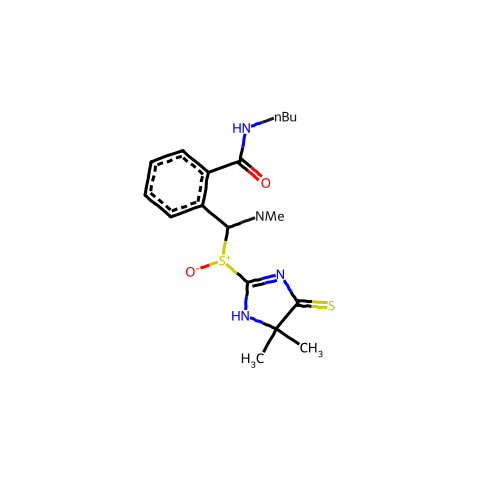 CCCCNC(=O)c1ccccc1C(NC)[S+]([O-])C1=NC(=S)C(C)(C)N1